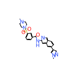 CN1CCN(S(=O)(=O)c2cccc(C(=O)Nc3cc4cc(-c5cnn(C)c5)ccc4cn3)c2)CC1